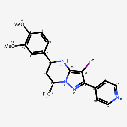 COc1ccc([C@@H]2C[C@H](C(F)(F)F)n3nc(-c4ccncc4)c(I)c3N2)cc1OC